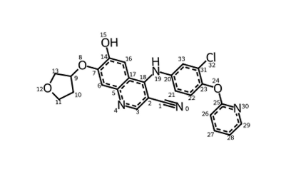 N#Cc1cnc2cc(OC3CCOC3)c(O)cc2c1Nc1ccc(Oc2ccccn2)c(Cl)c1